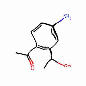 CC(=O)c1ccc(N)cc1C(C)O